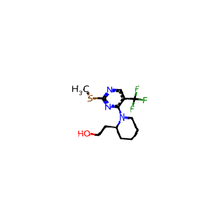 CSc1ncc(C(F)(F)F)c(N2CCCC[C@H]2CCO)n1